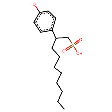 CCCCCCCCC(CS(=O)(=O)O)c1ccc(O)cc1